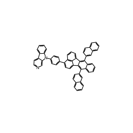 c1ccc2cc(-c3c4c(c(-c5ccc6ccccc6c5)c5ccccc35)-c3ccc(-c5ccc(-n6c7ccccc7c7ccncc76)cc5)c5cccc-4c35)ccc2c1